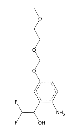 COCCOCOc1ccc(N)c(C(O)C(F)F)c1